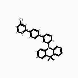 CC1(C)c2ccccc2N(c2cccc(-c3ccc(-c4cc(C#N)ccn4)cc3)c2)c2ccccc21